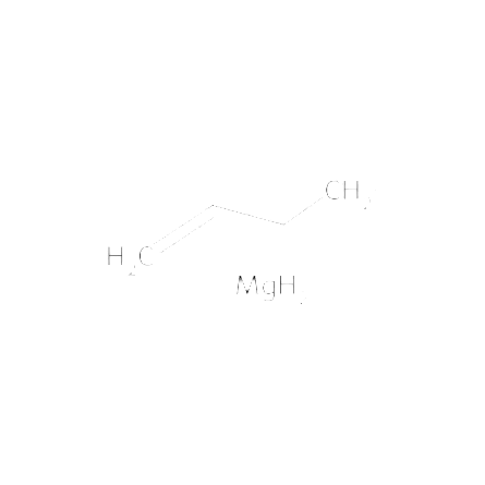 [CH2]CC=C.[MgH2]